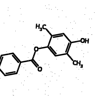 Cc1cc(OC(=O)c2ccccc2)c(C)cc1O